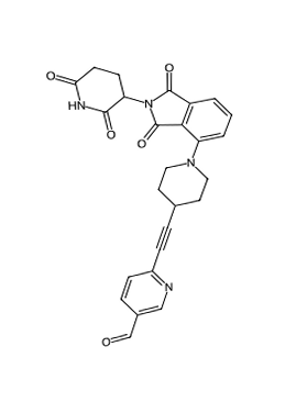 O=Cc1ccc(C#CC2CCN(c3cccc4c3C(=O)N(C3CCC(=O)NC3=O)C4=O)CC2)nc1